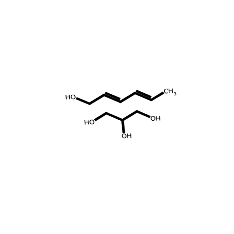 CC=CC=CCO.OCC(O)CO